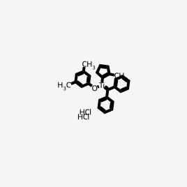 CC1=[C]([Ti]([O]c2cc(C)cc(C)c2)=[C](c2ccccc2)c2ccccc2)CC=C1.Cl.Cl